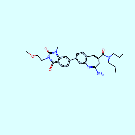 CCCN(CCC)C(=O)C1=Cc2ccc(-c3ccc4c(=O)n(CCOC)c(=O)n(C)c4c3)cc2N=C(N)C1